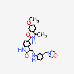 COc1ccc([C@H](C)NC(=O)c2ccc3c(c2)C(=CNc2cccc(CN4CCOCC4)c2)C(=O)N3)cc1